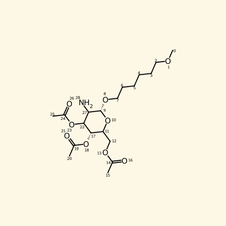 COCCCCCCO[C@@H]1OC(COC(C)=O)[C@H](OC(C)=O)C(OC(C)=O)C1N